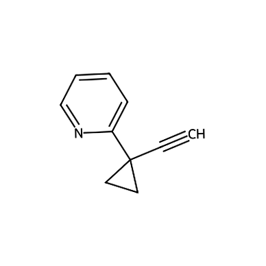 C#CC1(c2ccccn2)CC1